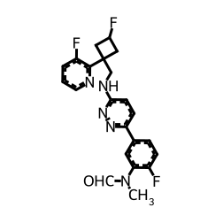 CN(C=O)c1cc(-c2ccc(NCC3(c4ncccc4F)CC(F)C3)nn2)ccc1F